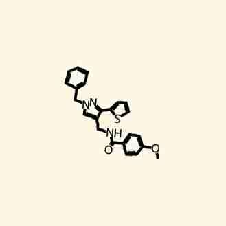 COc1ccc(C(=O)NCc2cn(Cc3ccccc3)nc2-c2cccs2)cc1